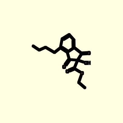 CCCCc1cccc2c1C(=O)C(O)(C(=O)OCC)C2=O